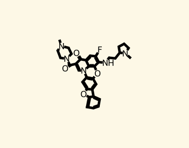 CN1CCN(C(=O)c2cn3c4c(c(NCCC5CCCN5C)c(F)cc4c2=O)Oc2cc4c(cc2-3)oc2ccccc24)CC1